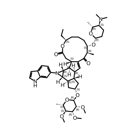 CC[C@H]1CCC[C@H](O[C@H]2CC[C@H](N(C)C)[C@@H](C)O2)[C@@H](C)C(=O)C2=C[C@H]3[C@@H]4C[C@H](O[C@@H]5O[C@@H](C)[C@H](OC)[C@@H](OC)[C@H]5OC)C[C@H]4[C@H]4[C@@H]([C@H]3[C@@H]2CC(=O)O1)N4c1ccc2cc[nH]c2c1